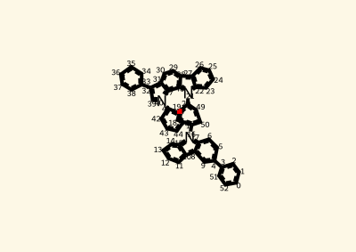 c1ccc(-c2ccc3c(c2)c2ccccc2n3-c2ccc(-n3c4ccccc4c4ccc5c(-c6ccccc6)cn(-c6ccccc6)c5c43)cc2)cc1